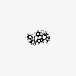 Cc1nnc2n1-c1sc3c(c1C(c1ccccc1Cl)=NC21CC1)C[C@H](C(=O)NC1(c2ccccn2)CC1)C3